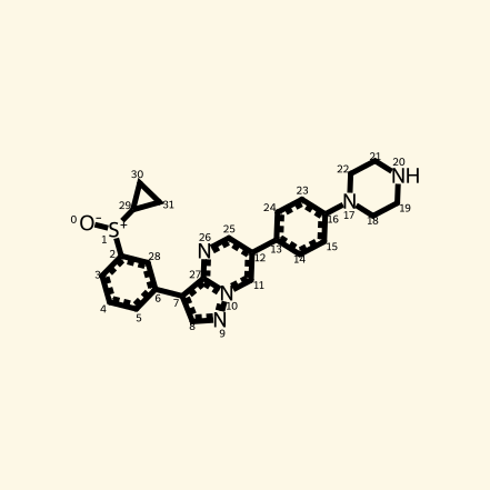 [O-][S+](c1cccc(-c2cnn3cc(-c4ccc(N5CCNCC5)cc4)cnc23)c1)C1CC1